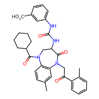 Cc1ccc2c(c1)N(CC(=O)c1ccccc1C)C(=O)C(NC(=O)Nc1cccc(C(=O)O)c1)CN2C(=O)C1CCCCC1